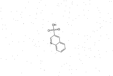 O=S(=O)(O)c1cnc2ccccc2c1